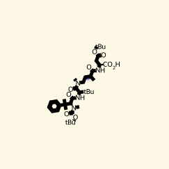 C/C(=C\CN(C)C(=O)C(NC(=O)[C@@H](N(C)C(=O)OC(C)(C)C)C(C)(C)c1ccccc1)C(C)(C)C)C(=O)N[C@@H](CC(=O)OC(C)(C)C)C(=O)O